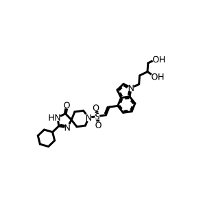 O=C1NC(C2CCCCC2)=NC12CCN(S(=O)(=O)C=Cc1cccc3c1ccn3CCC(O)CO)CC2